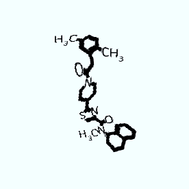 Cc1ccc(C)c(CC(=O)N2CCC(c3nc(C(=O)N(C)[C@@H]4CCCc5ccccc54)cs3)CC2)c1